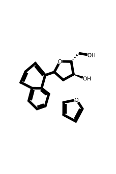 OC[C@H]1OC(c2cccc3ccccc23)C[C@@H]1O.c1ccoc1